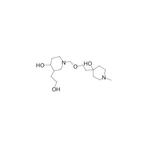 CN1CCC(O)(CCOCN2CCC(O)C(CCO)C2)CC1